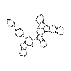 c1ccc(-c2ccc(-c3nc(-n4c5ccccc5c5c6c7cc8ccccc8cc7n7c8ccccc8c(cc54)c67)nc4c3oc3ccccc34)cc2)cc1